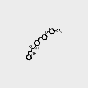 O=C(NC1CCC(=Cc2cccc(Oc3ccc(C(F)(F)F)cn3)c2)CC1)c1cc2ccccc2[nH]1